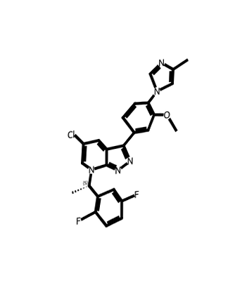 COc1cc(-c2nnc3n([C@@H](C)c4cc(F)ccc4F)cc(Cl)cc2-3)ccc1-n1cnc(C)c1